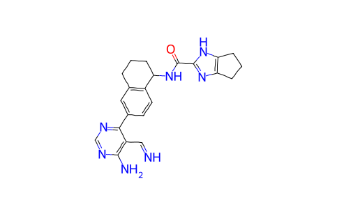 N=Cc1c(N)ncnc1-c1ccc2c(c1)CCCC2NC(=O)c1nc2c([nH]1)CCC2